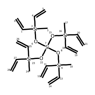 C=C[Si](C)(C=C)O[Si](O[Si](C)(C=C)C=C)(O[Si](C)(C=C)C=C)O[Si](C)(C=C)C=C